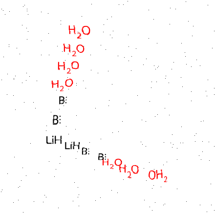 O.O.O.O.O.O.O.[B].[B].[B].[B].[LiH].[LiH]